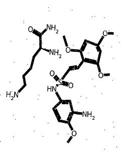 COc1cc(OC)c(C=CS(=O)(=O)Nc2ccc(OC)c(N)c2)c(OC)c1.NCCCC[C@H](N)C(N)=O